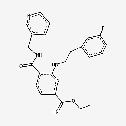 CCOC(=N)c1ccc(C(=O)NCc2cccnc2)c(NCCc2cccc(F)c2)n1